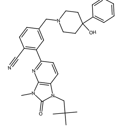 Cn1c(=O)n(CC(C)(C)C)c2ccc(-c3cc(CN4CCC(O)(c5ccccc5)CC4)ccc3C#N)nc21